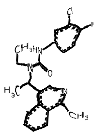 CCN(C(=O)Nc1ccc(F)c(Cl)c1)C(C)c1cnc(C)c2ccccc12